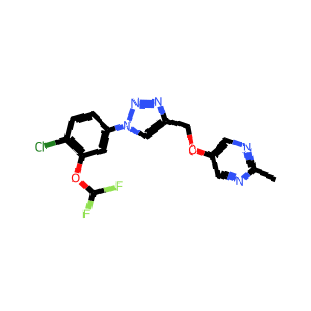 Cc1ncc(OCc2cn(-c3ccc(Cl)c(OC(F)F)c3)nn2)cn1